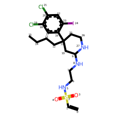 C=CS(=O)(=O)NCCNC1CC(CCCC)(c2cc(Cl)c(Cl)cc2I)CCN1